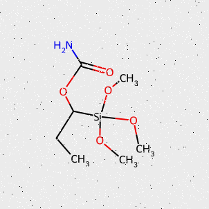 CCC(OC(N)=O)[Si](OC)(OC)OC